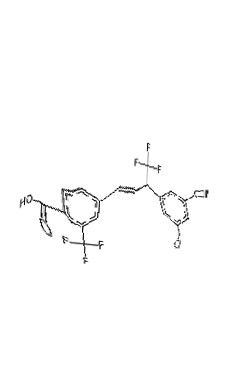 O=C(O)c1ccc(C=CC(c2cc(Cl)cc(Cl)c2)C(F)(F)F)cc1C(F)(F)F